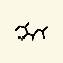 CCC(C)C(N)C(C)CC(C)C